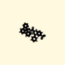 O=C(NOC(c1ccccc1)(c1ccccc1)c1ccccc1)[C@H](Cc1ccc([N+](=O)[O-])cc1)NCC1CCCCC1